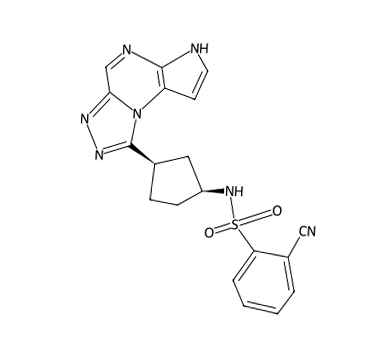 N#Cc1ccccc1S(=O)(=O)N[C@H]1CC[C@@H](c2nnc3cnc4[nH]ccc4n23)C1